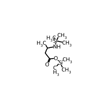 CC(CC(=O)O[Si](C)(C)C)N[Si](C)(C)C